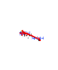 Cc1sc2c(c1C)C(c1ccc(NC(=O)CCCCCCCCCCCCCCCNCCc3c[nH]c4ccccc34)cc1)=N[C@@H](CC(=O)O)c1nnc(C)n1-2